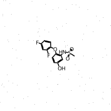 CS(=O)(=O)Nc1cc(O)ccc1Oc1ccc(F)cc1F